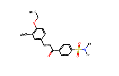 CCN(CC)S(=O)(=O)c1ccc(C(=O)C=Cc2ccc(OCC(=O)O)c(OC)c2)cc1